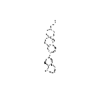 CCCN1CCC2(CCc3cc(-c4cnc5c(C)cccc5c4)ccc3O2)CC1